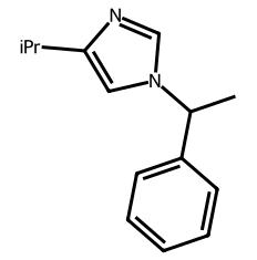 CC(C)c1cn(C(C)c2ccccc2)cn1